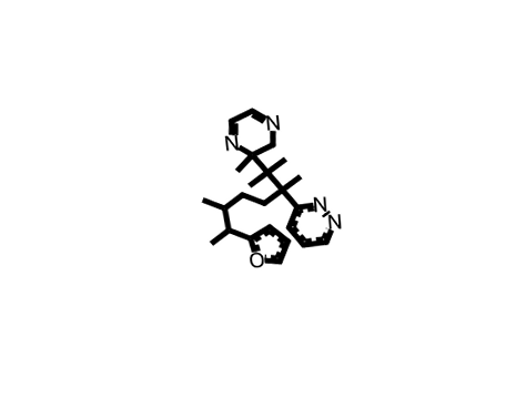 CC(CCC(C)(c1cccnn1)C(C)(C)C1(C)CN=CC=N1)C(C)c1ccco1